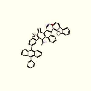 C=Cc1sc2ccc(-c3c4ccccc4c(-c4ccccc4)c4ccccc34)cc2c1/C(=C\C)c1c(C=C)c(/C=C\C)c(-c2cccc3c2oc2ccccc23)c2ccccc12